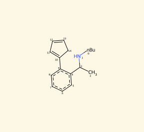 CCCCNC(C)c1ccccc1C1=CC=CC1